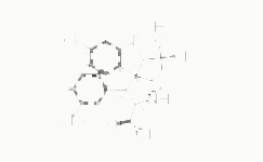 CC(C)(C)CC1(c2ccc(Cl)cc2F)CNC(C(=O)O)C1c1cccc(Cl)c1